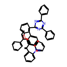 C=C(/C(=C\C(=C/C)c1ccccc1)c1ccccc1)c1ccccc1Nc1ccc2c(c1)oc1cccc(-c3nc(-c4ccccc4)nc(-c4ccccc4)n3)c12